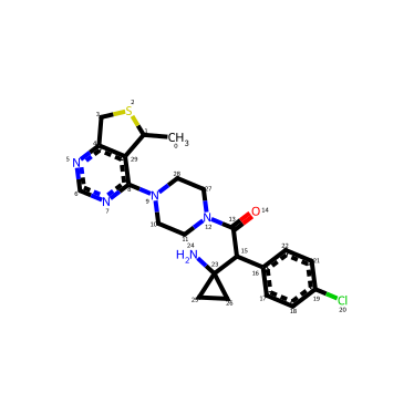 CC1SCc2ncnc(N3CCN(C(=O)C(c4ccc(Cl)cc4)C4(N)CC4)CC3)c21